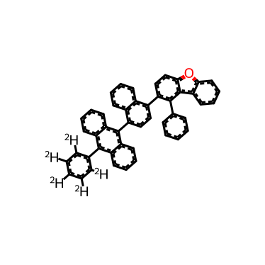 [2H]c1c([2H])c([2H])c(-c2c3ccccc3c(-c3ccc(-c4ccc5oc6ccccc6c5c4-c4ccccc4)c4ccccc34)c3ccccc23)c([2H])c1[2H]